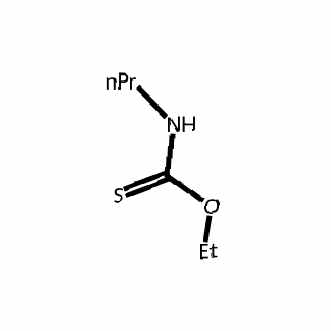 CCCNC(=S)OCC